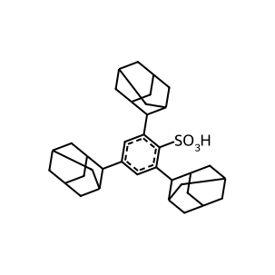 O=S(=O)(O)c1c(C2C3CC4CC(C3)CC2C4)cc(C2C3CC4CC(C3)CC2C4)cc1C1C2CC3CC(C2)CC1C3